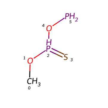 CO[PH](=S)OP